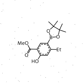 CCc1cc(O)c(C(=O)OC)cc1B1OC(C)(C)C(C)(C)O1